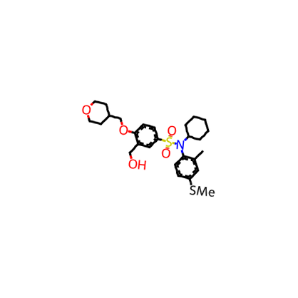 CSc1ccc(N(C2CCCCC2)S(=O)(=O)c2ccc(OCC3CCOCC3)c(CO)c2)c(C)c1